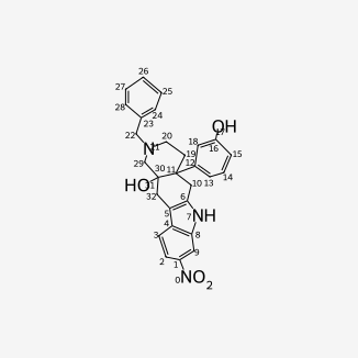 O=[N+]([O-])c1ccc2c3c([nH]c2c1)CC1(c2cccc(O)c2)CCN(Cc2ccccc2)CC1(O)C3